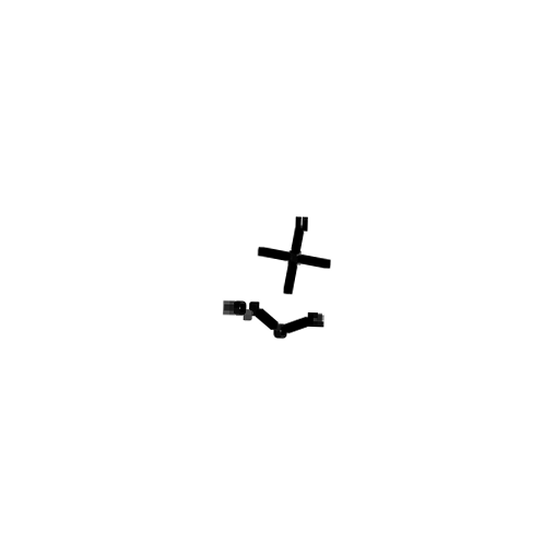 CCOS(=O)(=O)O.[Li][Si](C)(C)C